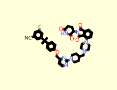 CC(C)(c1ccc(OCc2ccnc(N3CCC(CN4CCN(c5cccc6c5C(=O)N(C5CCC(=O)NC5=O)C6=O)CC4)CC3)n2)cc1)c1cc(Cl)cc(C#N)c1